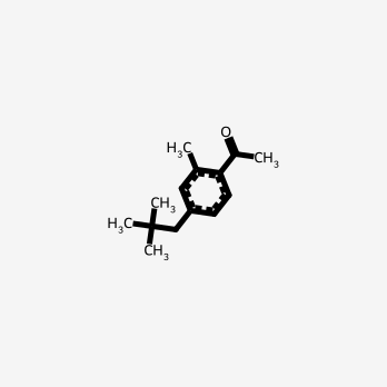 CC(=O)c1ccc(CC(C)(C)C)cc1C